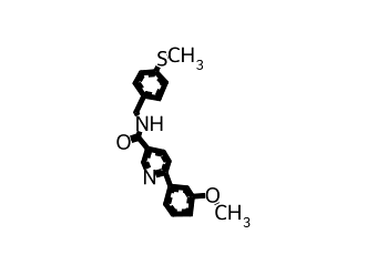 COc1cccc(-c2ccc(C(=O)NCc3ccc(SC)cc3)cn2)c1